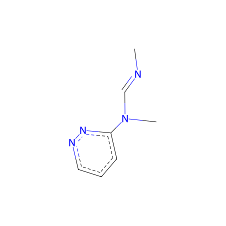 CN=CN(C)c1cccnn1